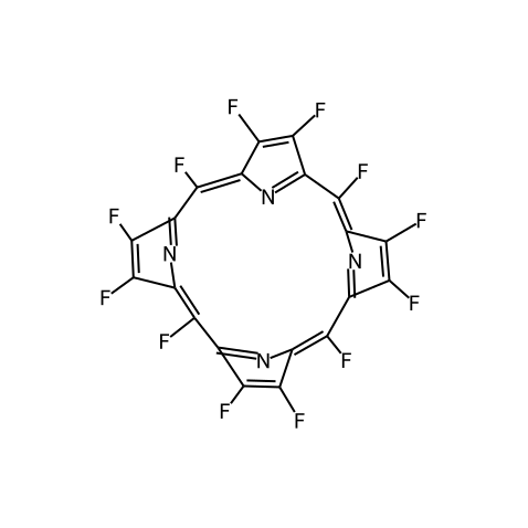 FC1=C(F)C2=C(F)C3=NC(=C(F)C4=NC(=C(F)C5=NC(=C(F)C1=N2)C(F)=C5F)C(F)=C4F)C(F)=C3F